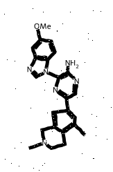 COc1ccc2c(c1)ncn2-c1nc(-c2cc(C)c3c(c2)CN(C)CC3)cnc1N